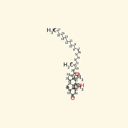 C=C(CCCC/C=C\CCCCCCCCCCC)CCC(=O)C1CCC2C3CCC4=CC(=O)C=CC4(C)C3C(O)CC12C